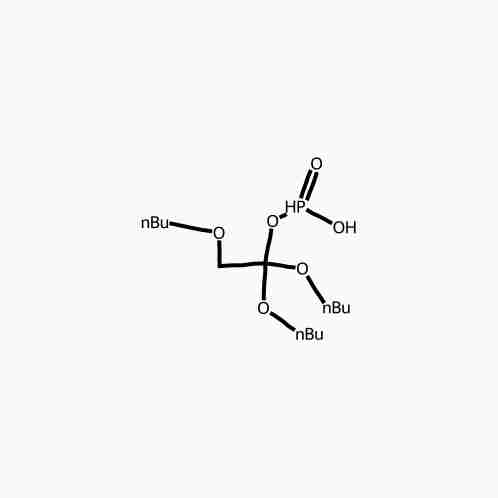 CCCCOCC(OCCCC)(OCCCC)O[PH](=O)O